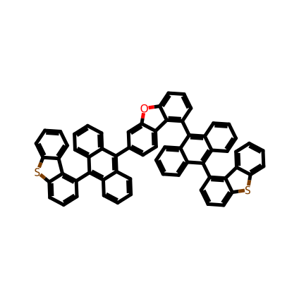 c1cc(-c2c3ccccc3c(-c3cccc4sc5ccccc5c34)c3ccccc23)c2c(c1)oc1cc(-c3c4ccccc4c(-c4cccc5sc6ccccc6c45)c4ccccc34)ccc12